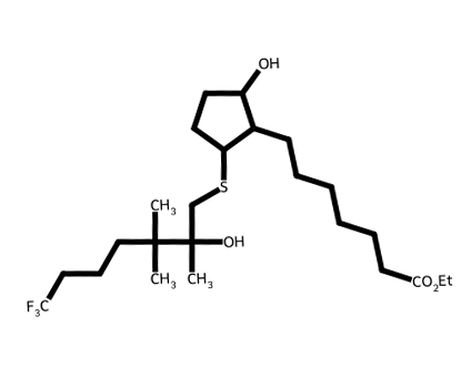 CCOC(=O)CCCCCCC1C(O)CCC1SCC(C)(O)C(C)(C)CCCC(F)(F)F